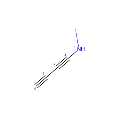 C#CC#CNI